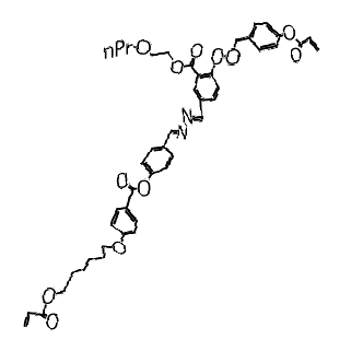 C=CC(=O)OCCCCCCOc1ccc(C(=O)Oc2ccc(/C=N/N=C/c3ccc(OOCc4ccc(OC(=O)C=C)cc4)c(C(=O)OCCOCCC)c3)cc2)cc1